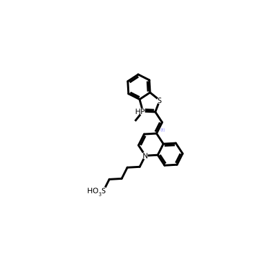 C[PH]1=C(/C=C2\C=CN(CCCCS(=O)(=O)O)c3ccccc32)Sc2ccccc21